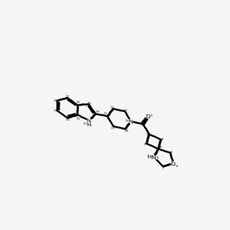 O=C(C1CC2(COCN2)C1)N1CCC(c2cc3ccccc3[nH]2)CC1